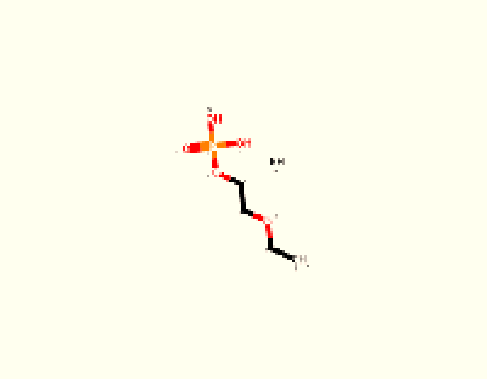 CCOCCOP(=O)(O)O.[KH]